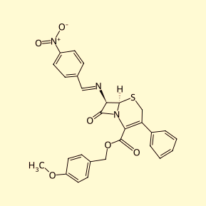 COc1ccc(COC(=O)C2=C(c3ccccc3)CS[C@@H]3[C@H](/N=C/c4ccc([N+](=O)[O-])cc4)C(=O)N23)cc1